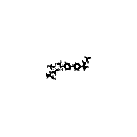 CC(C)NC(=O)C1(c2ccc(-c3ccc([C@H](N[C@@H](CC(C)(C)F)C(=O)NC4(C#N)CC4)C(F)F)cc3)cc2)CC1